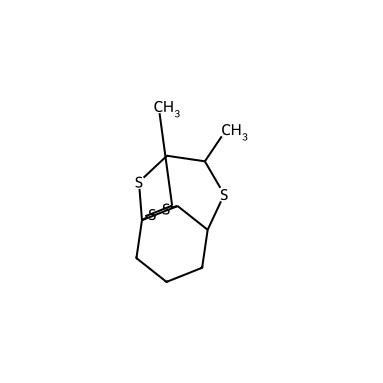 CC1CSC23CCCC(S1)C2SC(C)CS3